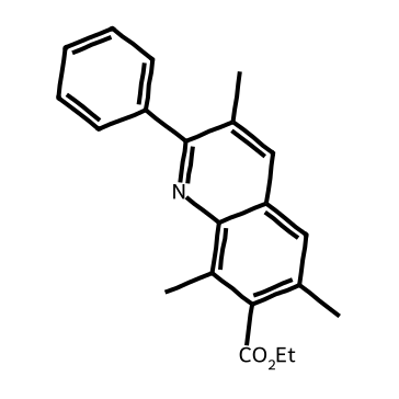 CCOC(=O)c1c(C)cc2cc(C)c(-c3ccccc3)nc2c1C